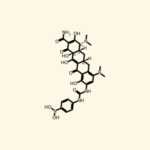 CN(C)c1cc(NC(=O)Nc2ccc(N(O)O)cc2)c(O)c2c1C[C@H]1C[C@H]3[C@@H](N(C)C)C(O)=C(C(N)=O)C(=O)[C@@]3(O)C(O)=C1C2=O